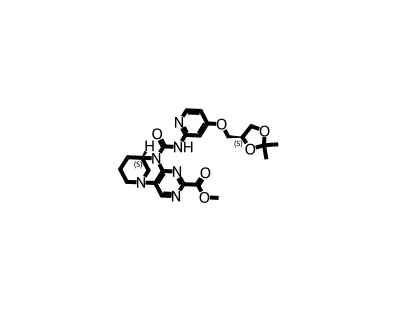 COC(=O)c1ncc2c(n1)N(C(=O)Nc1cc(OC[C@H]3COC(C)(C)O3)ccn1)[C@H]1CCCN2C1